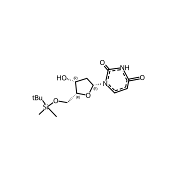 CC(C)(C)[Si](C)(C)OC[C@H]1O[C@@H](n2ccc(=O)[nH]c2=O)C[C@H]1O